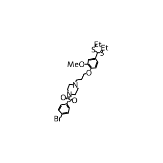 CCSC(SCC)c1ccc(OCCCN2CCN(S(=O)(=O)c3ccc(Br)cc3)CC2)c(OC)c1